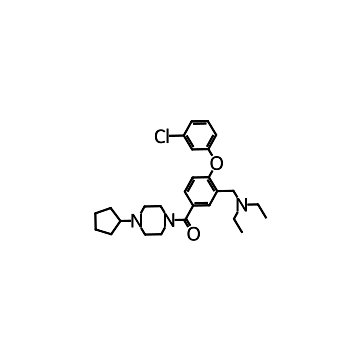 CCN(CC)Cc1cc(C(=O)N2CCN(C3CCCC3)CC2)ccc1Oc1cccc(Cl)c1